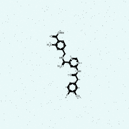 C=C(NCc1ccc(C(=O)OC)c(C)c1)c1cc(NC(=O)Cc2ccc(F)c(C)c2)ncn1